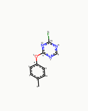 Cc1ccc(Oc2ncnc(F)n2)cc1